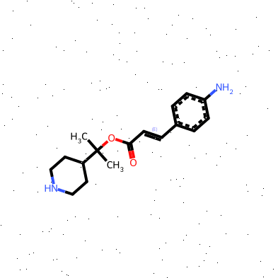 CC(C)(OC(=O)/C=C/c1ccc(N)cc1)C1CCNCC1